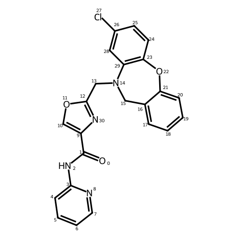 O=C(Nc1ccccn1)c1coc(CN2Cc3ccccc3Oc3ccc(Cl)cc32)n1